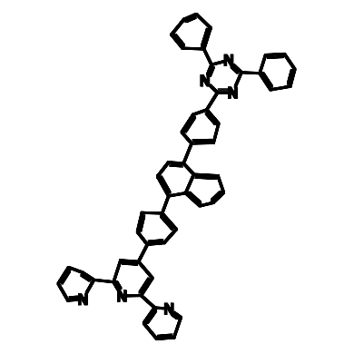 c1ccc(-c2nc(-c3ccccc3)nc(-c3ccc(-c4ccc(-c5ccc(-c6cc(-c7ccccn7)nc(-c7ccccn7)c6)cc5)c5ccccc45)cc3)n2)cc1